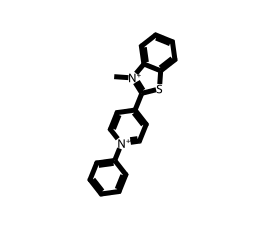 C[n+]1c(-c2cc[n+](-c3ccccc3)cc2)sc2ccccc21